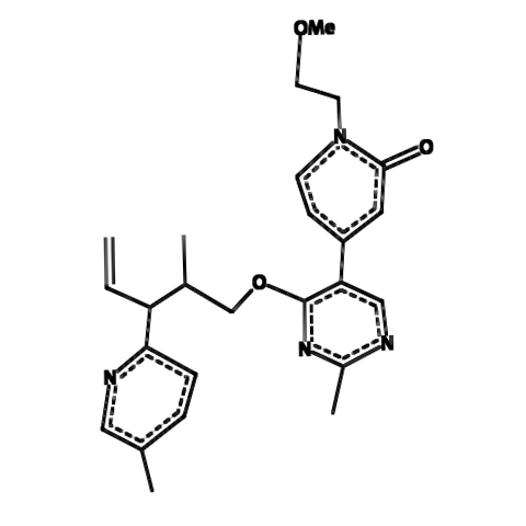 C=CC(c1ccc(C)cn1)C(C)COc1nc(C)ncc1-c1ccn(CCOC)c(=O)c1